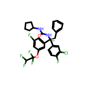 O=C(NC1CCCC1)N[C@@](Cc1ccccc1)(c1cc(F)cc(OC(F)(F)C(F)F)c1)c1ccc(F)c(Cl)c1